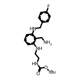 CC(C)(C)OC(=O)NCCNc1cccc(NCc2ccc(F)cc2)c1CN